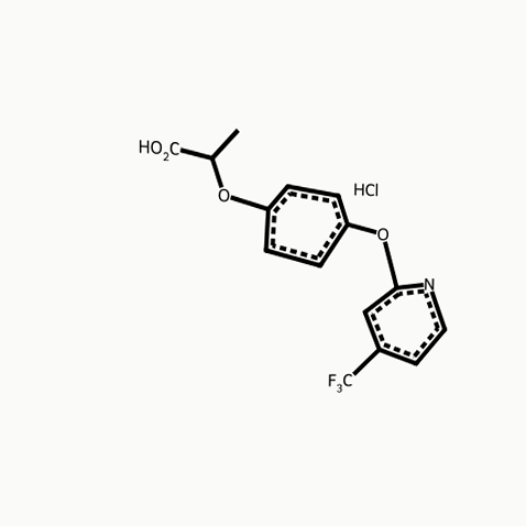 CC(Oc1ccc(Oc2cc(C(F)(F)F)ccn2)cc1)C(=O)O.Cl